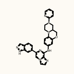 c1ccc(N2CCN3c4ccc(Nc5nc(-c6ccc7cn[nH]c7c6)cn6ccnc56)cc4OCC3C2)nc1